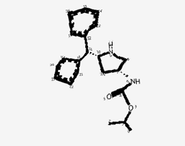 CC(C)OC(=O)N[C@H]1CN[C@@H](C(c2ccccc2)c2ccccc2)C1